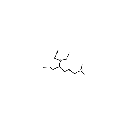 CCCC(CC[CH2][Al]([CH3])[CH3])N(CC)CC